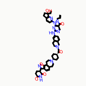 C=CCn1c(=O)c2cnc(Nc3ccc4c(c3)CCN(C3OC3[C@H]3CC[C@H](N5CCc6ccc7c(C8CCC(=O)NC8=O)noc7c6CC5)CC3)C4)nc2n1-c1ccc2c(n1)[C@@](O)(CC)CC2